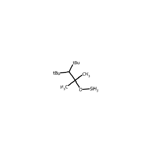 CC(C)(C)C(C(C)(C)C)C(C)(C)O[SiH3]